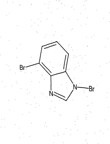 Brc1cccc2c1ncn2Br